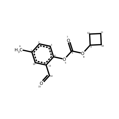 Cc1ccc(OC(=O)OC2CCC2)c(C=O)c1